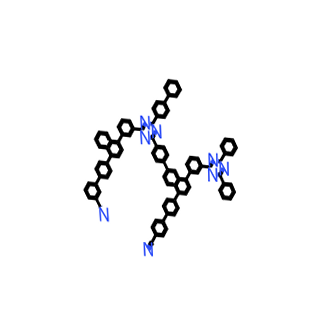 N#Cc1ccc(-c2ccc(-c3ccc(-c4cccc(-c5nc(-c6ccccc6)nc(-c6ccccc6)n5)c4)c4cc(-c5ccc(-c6nc(-c7ccc(-c8ccccc8)cc7)nc(-c7cccc(-c8ccc(-c9ccc(-c%10cccc(C#N)c%10)cc9)c9ccccc89)c7)n6)cc5)ccc34)cc2)cc1